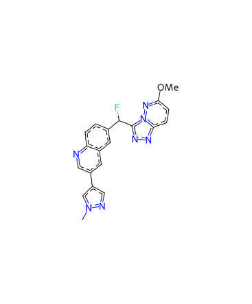 COc1ccc2nnc(C(F)c3ccc4ncc(-c5cnn(C)c5)cc4c3)n2n1